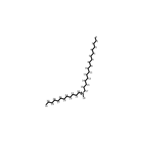 CCCCCCCCCCCCCCCCCCN(C)CCCCCCCCCCCC